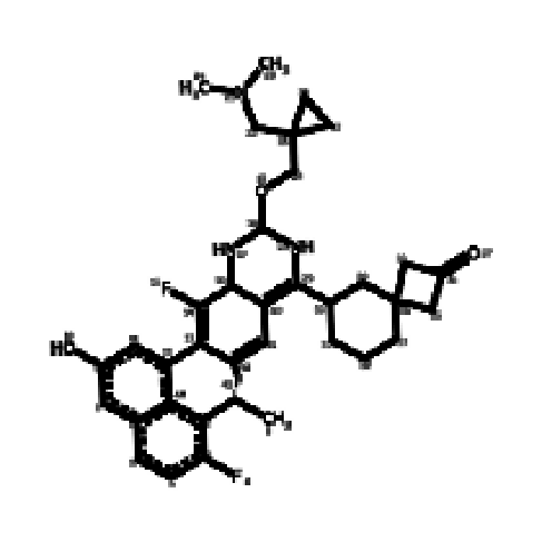 CCc1c(F)ccc2cc(O)cc(C3=C(F)C4NC(OCC5(CN(C)C)CC5)NC(C5CCCC6(CC(=O)C6)C5)=C4C=C3F)c12